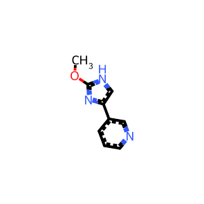 COc1nc(-c2cccnc2)c[nH]1